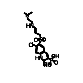 CN(C)CCNC=CCS(=O)(=O)c1cc2cc(P(=O)(O)O)c(=O)[nH]c2cc1Cl